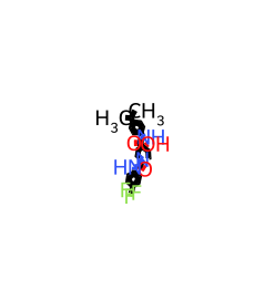 CC(C)c1ccc(NC(=O)C2(O)CCN(C(=O)Nc3ccc(C(F)(F)F)cc3)CC2)cc1